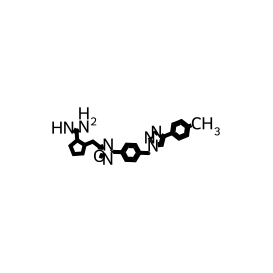 Cc1ccc(-c2cn(Cc3ccc(-c4noc(CC5CCCC5C(=N)N)n4)cc3)nn2)cc1